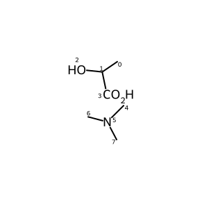 CC(O)C(=O)O.CN(C)C